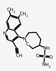 C#Cc1cnc2cc(C)c(C)cc2c1N1CCCC(NS(N)(=O)=O)CC1